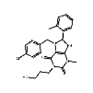 Cc1ccccc1C1Nc2c(c(=O)n(CCCO)c(=O)n2C)N1Cc1ccc(Cl)cn1